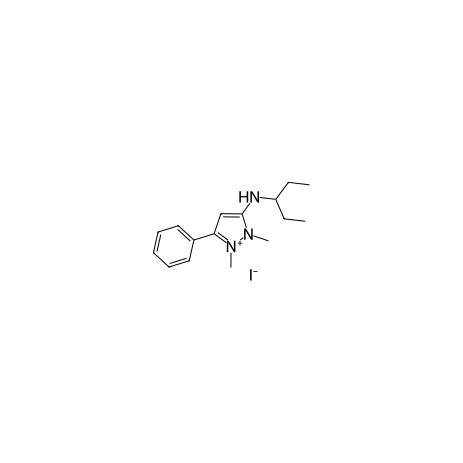 CCC(CC)Nc1cc(-c2ccccc2)[n+](C)n1C.[I-]